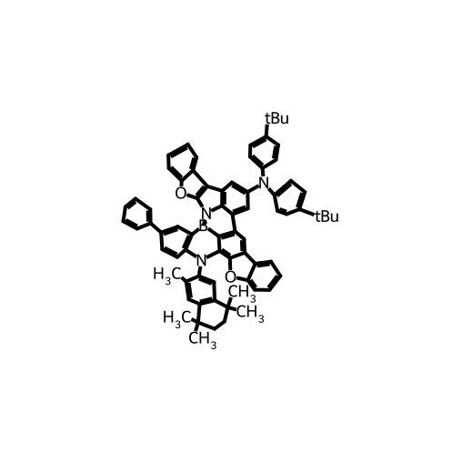 Cc1cc2c(cc1N1c3ccc(-c4ccccc4)cc3B3c4c(cc5c(oc6ccccc65)c41)-c1cc(N(c4ccc(C(C)(C)C)cc4)c4ccc(C(C)(C)C)cc4)cc4c5c6ccccc6oc5n3c14)C(C)(C)CCC2(C)C